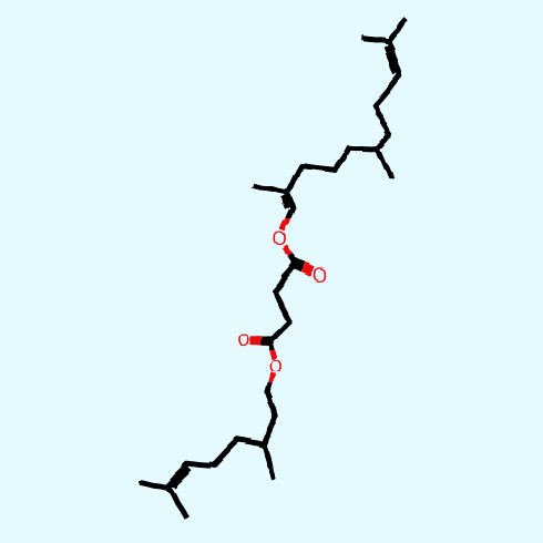 CC(C)=CCCC(C)CCCC(C)=COC(=O)CCC(=O)OCCC(C)CCC=C(C)C